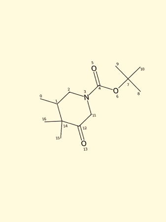 CC1CN(C(=O)OC(C)(C)C)CC(=O)C1(C)C